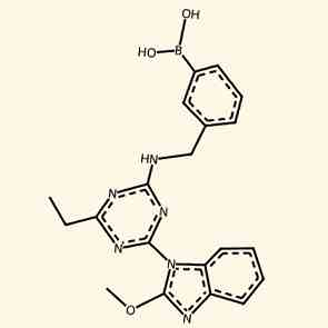 CCc1nc(NCc2cccc(B(O)O)c2)nc(-n2c(OC)nc3ccccc32)n1